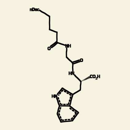 CCCCCCCCCCCCCC(=O)NCC(=O)N[C@@H](Cc1c[nH]c2ccccc12)C(=O)O